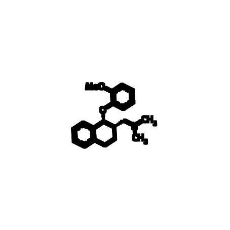 COc1ccccc1O[C@H]1c2ccccc2CC[C@H]1CN(C)C